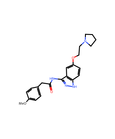 COc1ccc(CC(=O)Nc2n[nH]c3ccc(OCCN4CCCC4)cc23)cc1